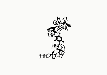 Cc1cc(C)c(C(=O)N[C@@H](CC(=O)O)C(=O)O)c(C)c1NC(=O)c1sccc1S(=O)(=O)Nc1onc(C)c1Cl